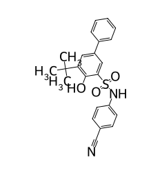 CC(C)(C)c1cc(-c2ccccc2)cc(S(=O)(=O)Nc2ccc(C#N)cc2)c1O